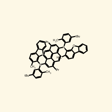 Cc1ccc(C(C)(C)C)cc1N(c1cc(C(C)C)c2ccc3c(N(c4cc(C(C)(C)C)ccc4C)c4c(C)ccc5c4oc4ccccc45)cc(C(C)C)c4ccc1c2c43)c1c(C)ccc2c1oc1ccccc12